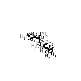 C=C(C)/C(=C\C=C(\NC(C)CCC(=O)/C(CCC(=O)OC(C)(C)C)=C(/C)C(C)=O)C(C)CC)C(F)(F)F